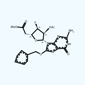 COC(=O)C[C@H]1O[C@@H](n2c(OCc3ccccc3)nc3c(=O)[nH]c(N)nc32)[C@H](OC(C)=O)[C@@H]1F